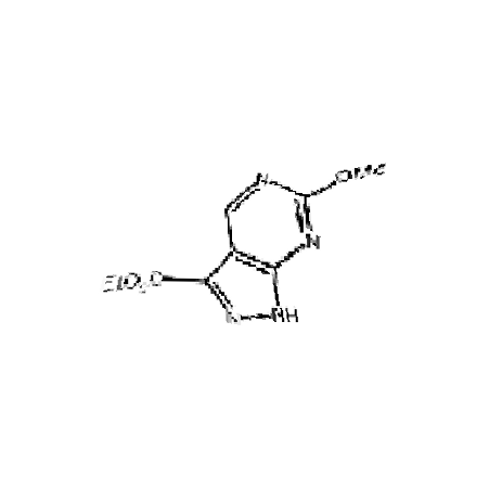 CCOC(=O)c1n[nH]c2nc(OC)ncc12